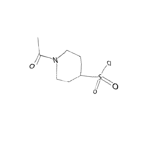 CC(=O)N1CCC(S(=O)(=O)Cl)CC1